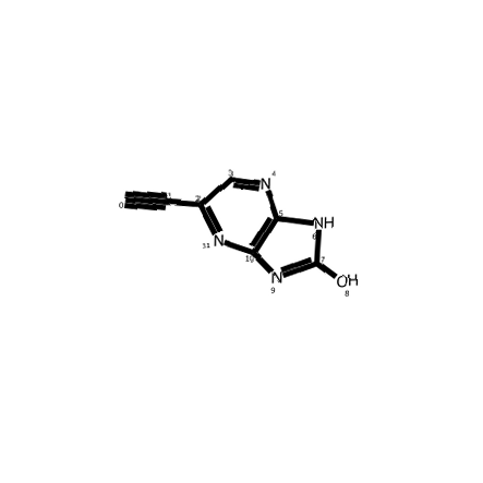 C#Cc1cnc2[nH]c(O)nc2n1